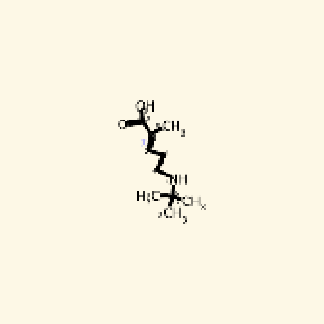 C/C(=C\CCNC(C)(C)C)C(=O)O